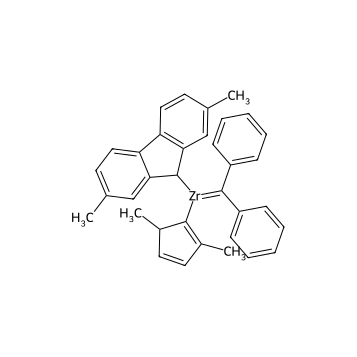 CC1=[C]([Zr](=[C](c2ccccc2)c2ccccc2)[CH]2c3cc(C)ccc3-c3ccc(C)cc32)C(C)C=C1